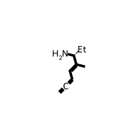 C=C=C/C=C(\C)[C@H](N)CC